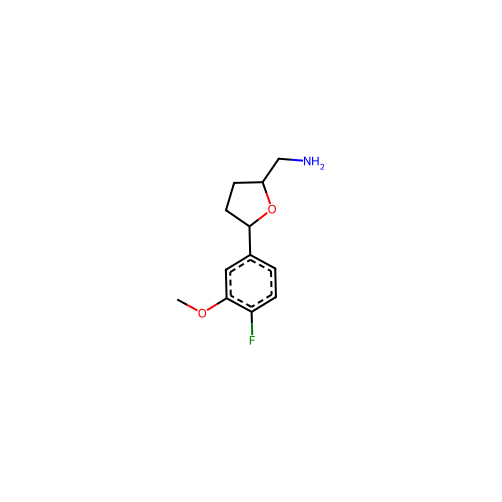 COc1cc(C2CCC(CN)O2)ccc1F